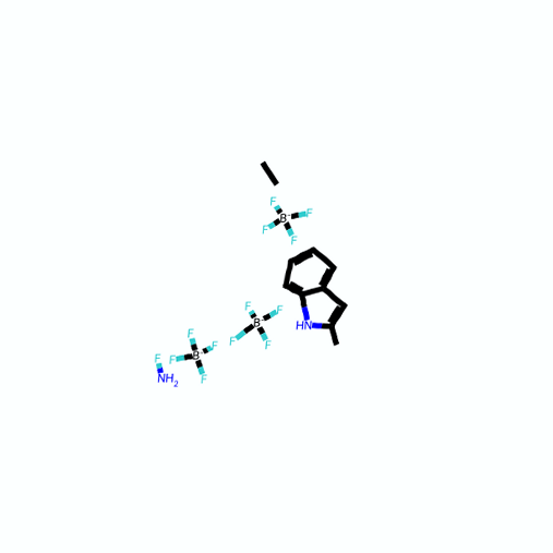 CC.Cc1cc2ccccc2[nH]1.F[B-](F)(F)F.F[B-](F)(F)F.F[B-](F)(F)F.NF